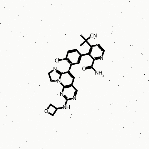 CC(C)(C#N)c1ccnc(C(N)=O)c1-c1ccc(Cl)c(C2=Cc3cnc(NC4COC4)nc3N3CCN=C23)c1